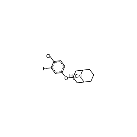 CN1C2CCCC1CC(Oc1ccc(Cl)c(F)c1)C2